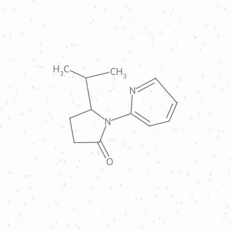 CC(C)C1CCC(=O)N1c1ccccn1